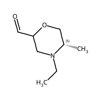 CCN1CC(C=O)OC[C@@H]1C